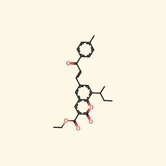 CCOC(=O)c1cc2cc(C=CC(=O)c3ccc(C)cc3)cc(C(C)CC)c2oc1=O